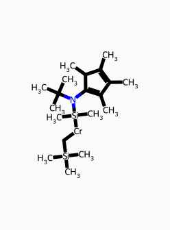 CC1=C(C)C(C)C(N(C(C)(C)C)[Si](C)(C)[Cr][CH2][Si](C)(C)C)=C1C